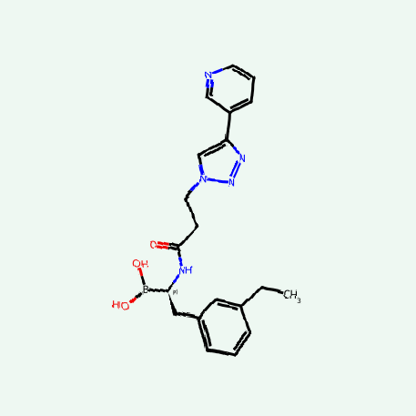 CCc1cccc(C[C@H](NC(=O)CCn2cc(-c3cccnc3)nn2)B(O)O)c1